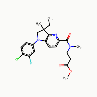 CCC1(C)CN(c2ccc(Cl)c(F)c2)c2ccc(C(=O)N(C)CCC(=O)OC)nc21